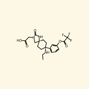 CCN[C@]1(c2cccc(OC(=O)C(F)(F)F)c2)CC[C@@]2(CC1)CN(CC(=O)O)C(=O)N2